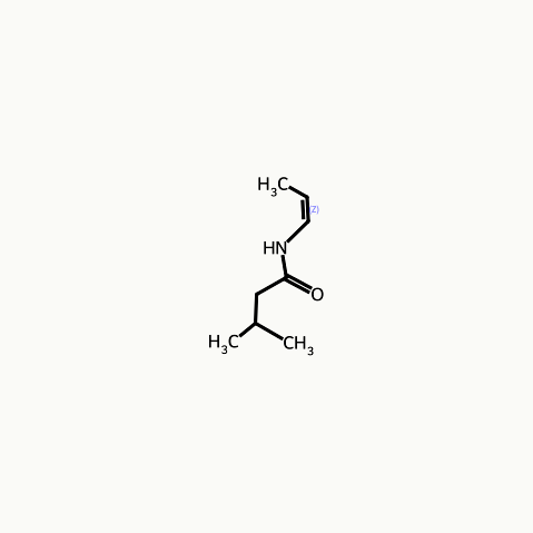 C/C=C\NC(=O)CC(C)C